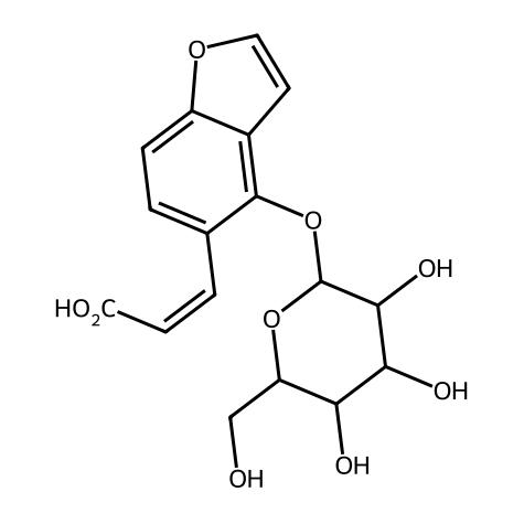 O=C(O)/C=C\c1ccc2occc2c1OC1OC(CO)C(O)C(O)C1O